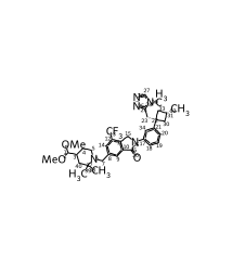 COC(OC)C1CCN(Cc2cc3c(c(C(F)(F)F)c2)CN(c2cccc([C@]4(Cc5nncn5C)C[C@@H](C)C4)c2)C3=O)C(C)(C)C1